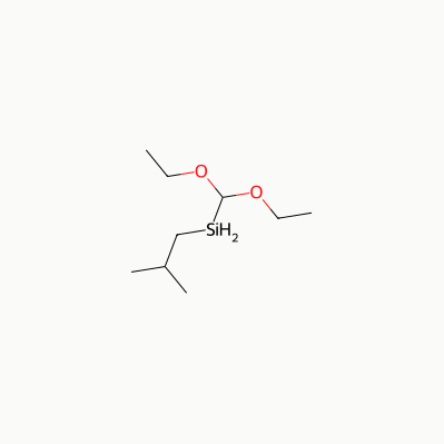 CCOC(OCC)[SiH2]CC(C)C